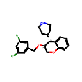 Brc1cc(Br)cc(CO[C@@H]2COc3ccccc3[C@H]2C2CCNCC2)c1